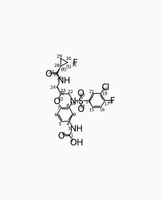 O=C(O)Nc1ccc2c(c1)N(S(=O)(=O)c1ccc(F)c(Cl)c1)C[C@H](CNC(=O)[C@H]1C[C@@H]1F)O2